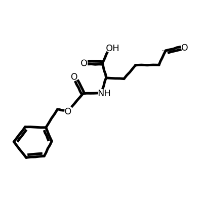 O=[C]CCCC(NC(=O)OCc1ccccc1)C(=O)O